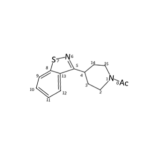 CC(=O)N1CCC(c2nsc3ccccc23)CC1